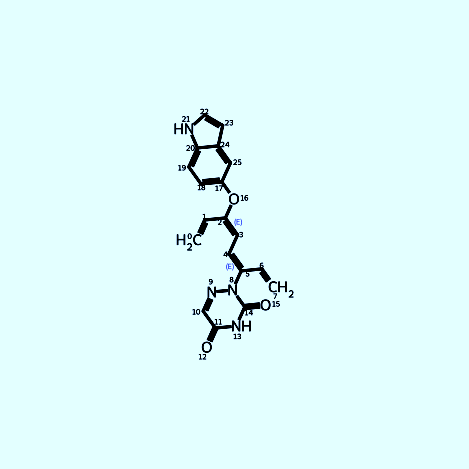 C=C/C(=C\C=C(/C=C)n1ncc(=O)[nH]c1=O)Oc1ccc2[nH]ccc2c1